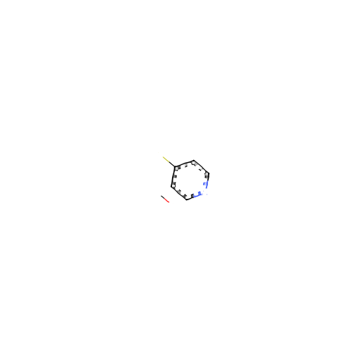 CCO.Sc1ccncc1